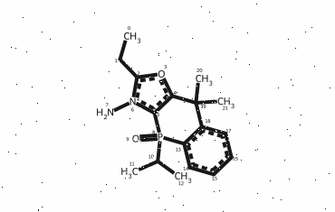 CCc1oc2c([n+]1N)P(=O)(C(C)C)c1ccccc1C2(C)C